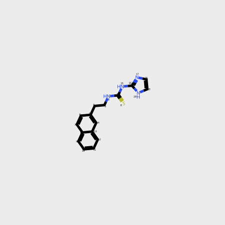 S=C(NCCc1ccc2ccccc2c1)Nc1ncc[nH]1